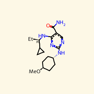 CC[C@@H](Nc1nc(N[C@H]2CC[C@H](OC)CC2)ncc1C(N)=O)C1CC1